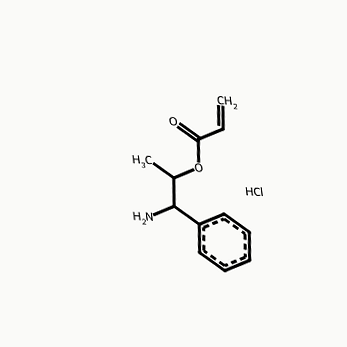 C=CC(=O)OC(C)C(N)c1ccccc1.Cl